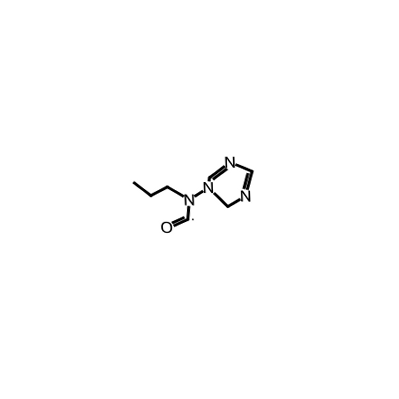 CCCN([C]=O)N1C=NC=NC1